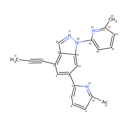 CC#Cc1cc(-c2cccc(C(C)=O)n2)cc2c1cnn2-c1cccc(C)n1